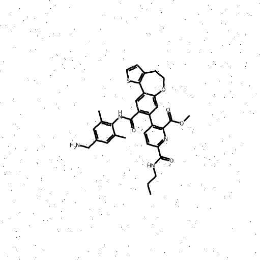 CCCNC(=O)c1ccc(-c2cc3c(cc2C(=O)Nc2c(C)cc(CN)cc2C)-c2sccc2CCO3)c(C(=O)OC)n1